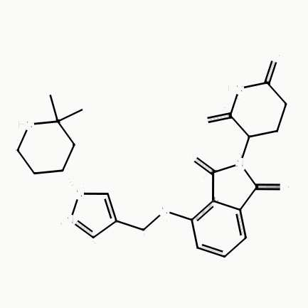 CC1(C)C[C@H](n2cc(CNc3cccc4c3C(=O)N(C3CCC(=O)NC3=O)C4=O)cn2)CCN1